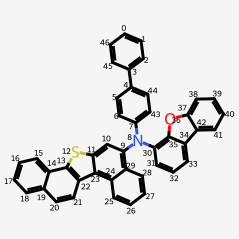 c1ccc(-c2ccc(N(c3cc4sc5c6ccccc6ccc5c4c4ccccc34)c3cccc4c3oc3ccccc34)cc2)cc1